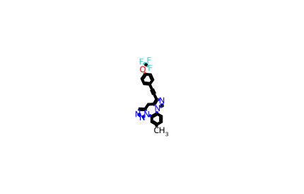 Cc1ccc2c(c1)-n1nncc1Cc1c(C#Cc3ccc(OC(F)(F)F)cc3)ncn1-2